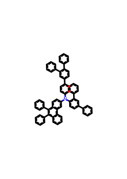 c1ccc(-c2ccc(N(c3ccc(-c4ccc(-c5ccccc5)c(-c5ccccc5)c4)cc3)c3ccc4c(-c5ccccc5)c(-c5ccccc5)c5ccccc5c4c3)c(-c3ccccc3)c2)cc1